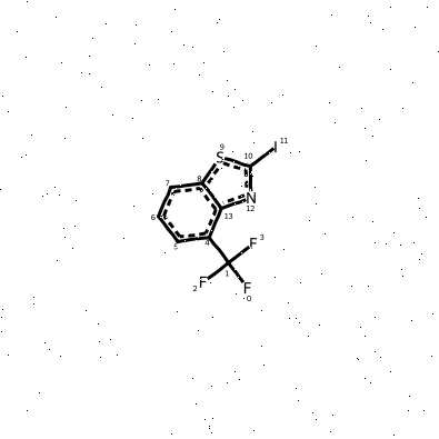 FC(F)(F)c1cccc2sc(I)nc12